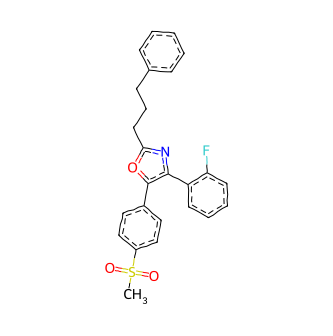 CS(=O)(=O)c1ccc(-c2oc(CCCc3ccccc3)nc2-c2ccccc2F)cc1